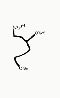 COCCC(CC(=O)O)C(=O)O